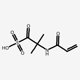 C=CC(=O)NC(C)(C)C(=O)S(=O)(=O)O